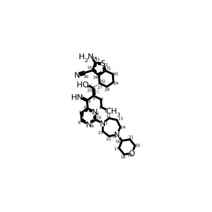 CCC/C(C(=N)c1ccnc(N2CCCN(C3CCOCC3)CC2)n1)=C(/O)[C@H]1CCCc2sc(N)c(C#N)c21